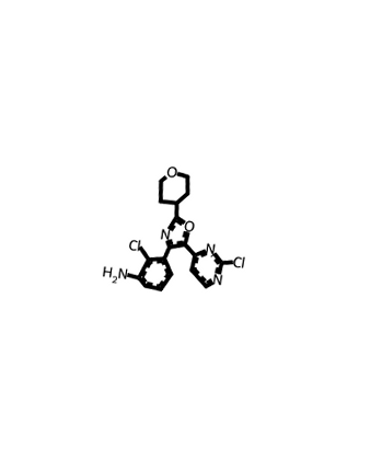 Nc1cccc(-c2nc(C3CCOCC3)oc2-c2ccnc(Cl)n2)c1Cl